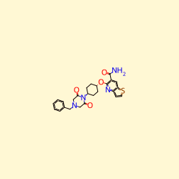 NC(=O)c1cc2sccc2nc1O[C@H]1CC[C@H](N2C(=O)CN(Cc3ccccc3)CC2=O)CC1